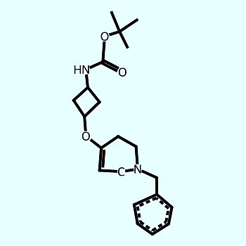 CC(C)(C)OC(=O)NC1CC(OC2=CCN(Cc3ccccc3)CC2)C1